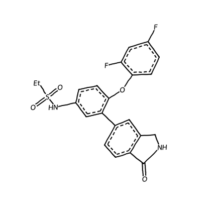 CCS(=O)(=O)Nc1ccc(Oc2ccc(F)cc2F)c(-c2ccc3c(c2)CNC3=O)c1